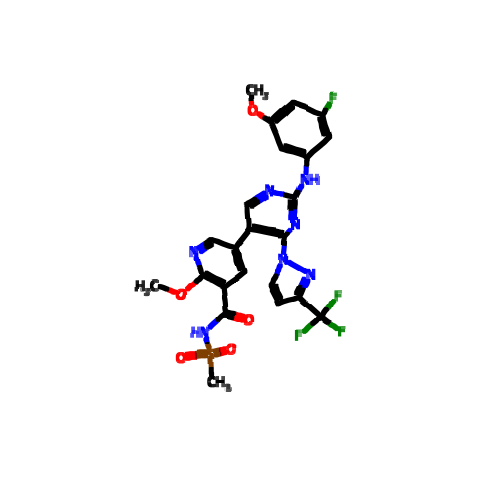 COc1cc(F)cc(Nc2ncc(-c3cnc(OC)c(C(=O)NS(C)(=O)=O)c3)c(-n3ccc(C(F)(F)F)n3)n2)c1